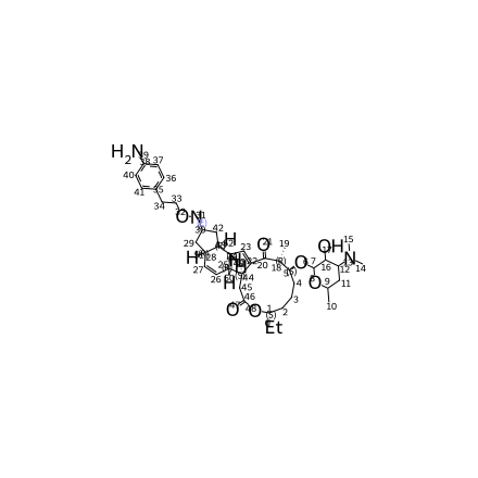 CC[C@H]1CCC[C@H](OC2OC(C)CC(N(C)C)C2O)[C@@H](C)C(=O)C2=C[C@@H]3[C@@H](C=C[C@@H]4C/C(=N\OCCc5ccc(N)cc5)C[C@@H]34)[C@@H]2CC(=O)O1